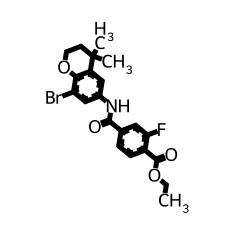 CCOC(=O)c1ccc(C(=O)Nc2cc(Br)c3c(c2)C(C)(C)CCO3)cc1F